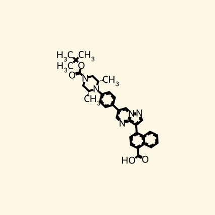 C[C@@H]1CN(C(=O)OC(C)(C)C)C[C@H](C)N1c1ccc(-c2cnc3c(-c4ccc(C(=O)O)c5ccccc45)cnn3c2)cc1